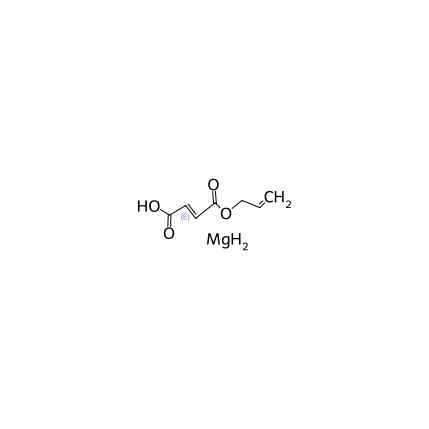 C=CCOC(=O)/C=C/C(=O)O.[MgH2]